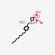 CCCCCCCCCc1ccc(CNC2CCC(OC(=O)O)(OC(=O)OCC)C2)cc1.Cl